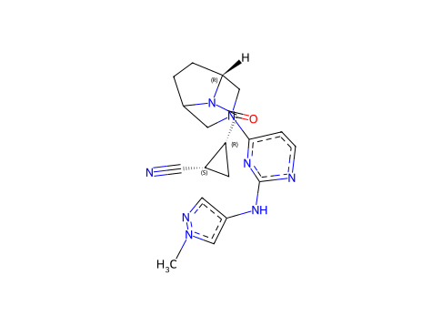 Cn1cc(Nc2nccc(N3CC4CC[C@H](C3)N4C(=O)[C@@H]3C[C@@H]3C#N)n2)cn1